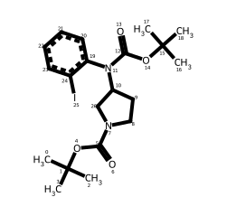 CC(C)(C)OC(=O)N1CCC(N(C(=O)OC(C)(C)C)c2ccccc2I)C1